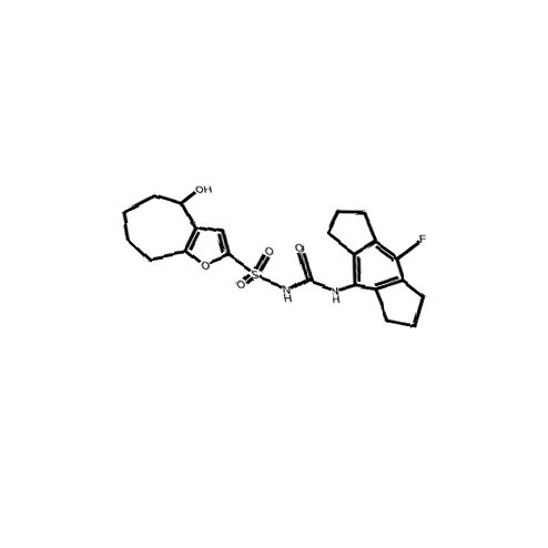 O=C(Nc1c2c(c(F)c3c1CCC3)CCC2)NS(=O)(=O)c1cc2c(o1)CCCCC2O